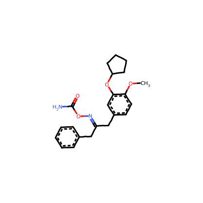 COc1ccc(CC(Cc2ccccc2)=NOC(N)=O)cc1OC1CCCC1